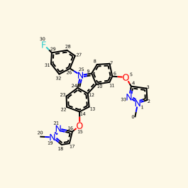 Cn1ccc(Oc2ccc3c(c2)c2cc(Oc4ccn(C)n4)ccc2n3-c2ccc(F)cc2)n1